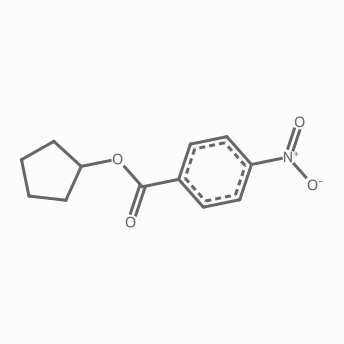 O=C(OC1CCCC1)c1ccc([N+](=O)[O-])cc1